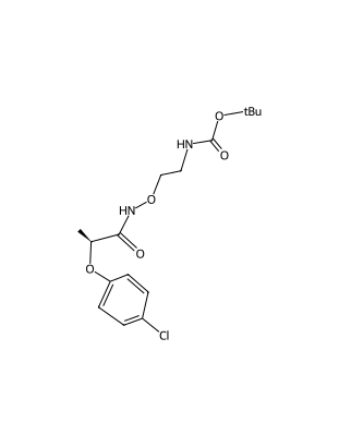 C[C@H](Oc1ccc(Cl)cc1)C(=O)NOCCNC(=O)OC(C)(C)C